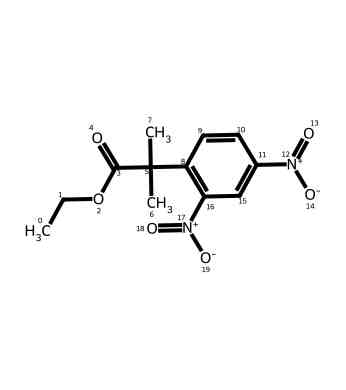 CCOC(=O)C(C)(C)c1ccc([N+](=O)[O-])cc1[N+](=O)[O-]